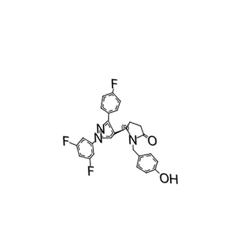 O=C1CC[C@H](c2cn(-c3cc(F)cc(F)c3)nc2-c2ccc(F)cc2)N1Cc1ccc(O)cc1